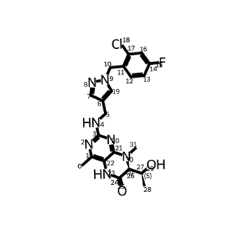 Cc1nc(NCc2cnn(Cc3ccc(F)cc3Cl)c2)nc2c1NC(=O)[C@H]([C@H](C)O)N2C